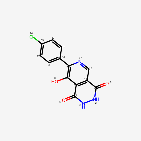 O=c1[nH][nH]c(=O)c2c(O)c(-c3ccc(Cl)cc3)ncc12